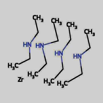 CCNCC.CCNCC.CCNCC.CCNCC.[Zr]